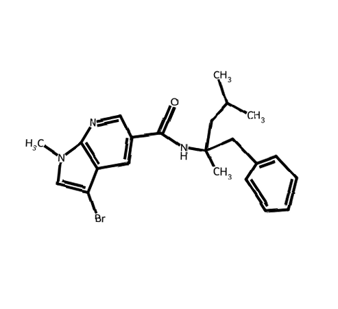 CC(C)CC(C)(Cc1ccccc1)NC(=O)c1cnc2c(c1)c(Br)cn2C